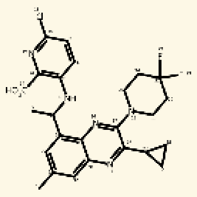 Cc1cc(C(C)Nc2ccc(Cl)nc2C(=O)O)c2nc(N3CCC(F)(F)CC3)c(C3CC3)nc2c1